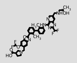 Cc1c(Nc2nc(C(F)F)nc3cc(CNC[C@@H](C)O)cnc23)cccc1-c1cccc(-c2nc3cc(CN4CCC(C(=O)O)C4)c(OC(F)F)cc3o2)c1C